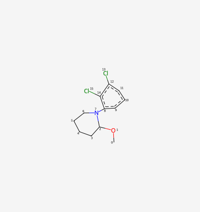 COC1CCCCN1c1cccc(Cl)c1Cl